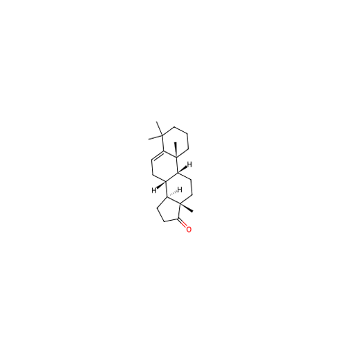 CC1(C)CCC[C@@]2(C)C1=CC[C@@H]1[C@H]2CC[C@]2(C)C(=O)CC[C@@H]12